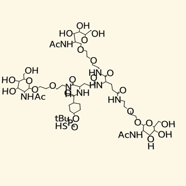 CC(=O)NC1C(OCCOCCNC(=O)CCC(NC(=O)CCC(NC(=O)C2CCC(OP(=O)(S)C(C)(C)C)CC2)C(=O)NCCOCCOC2OC(CO)C(O)C(O)C2NC(C)=O)C(=O)NCCOCCOC2OC(CO)C(O)C(O)C2NC(C)=O)OC(CO)C(O)C1O